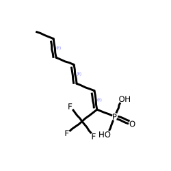 C/C=C/C=C/C=C(\C(F)(F)F)P(=O)(O)O